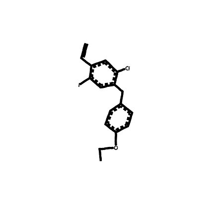 C=Cc1cc(Cl)c(Cc2ccc(OCC)cc2)cc1I